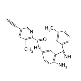 Cc1cccc(C(=N)c2cc(NC(=O)c3ncc(C#N)cc3C)ccc2N)c1